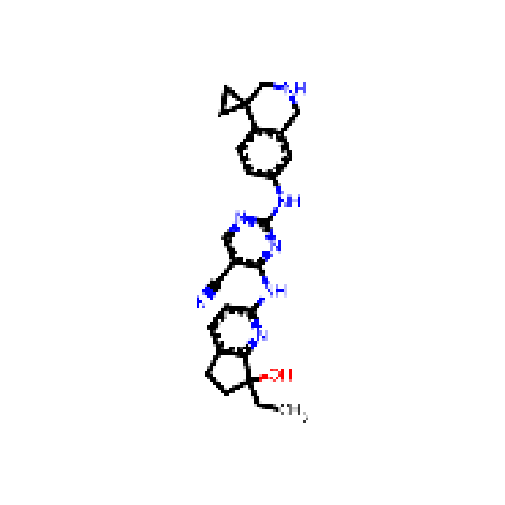 CCC1(O)CCc2ccc(Nc3nc(Nc4ccc5c(c4)CNCC54CC4)ncc3C#N)nc21